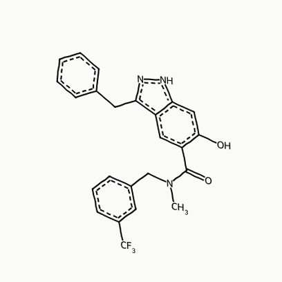 CN(Cc1cccc(C(F)(F)F)c1)C(=O)c1cc2c(Cc3ccccc3)n[nH]c2cc1O